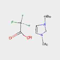 CCCCN1C=CN(OC(C)=O)C1.O=C(O)C(F)(F)F